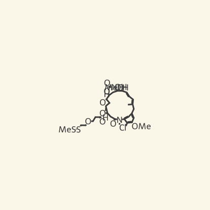 COc1cc2cc(c1Cl)N(C)C(=O)C[C@H](OC(=O)CCOCCSSC)[C@@]1(C)CC(O1)[C@@H]1C[C@@](O)(NC(=O)O1)[C@H](OC)/C=C/C=C(\C)C2